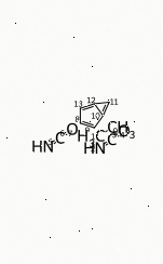 CC.N=C=O.N=C=O.c1cc2cc-2c1